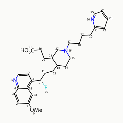 COc1ccc2nccc([C@@H](F)CCC3CCN(CCCCc4ccccn4)CC3CCC(=O)O)c2c1